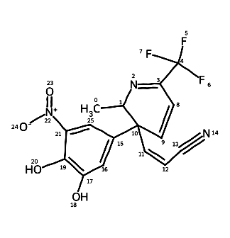 CC1N=C(C(F)(F)F)C=CC1(/C=C\C#N)c1cc(O)c(O)c([N+](=O)[O-])c1